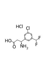 Cl.N[C@@H](CC(=O)O)c1cc(Cl)cc(C(F)F)c1